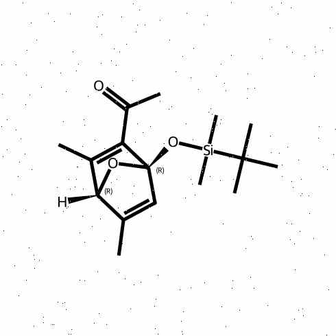 CC(=O)C1=C(C)[C@@H]2O[C@@]1(O[Si](C)(C)C(C)(C)C)C=C2C